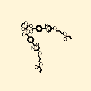 C=CC(=O)OCCCOc1cnc(-c2ccc(C(=O)O[C@H]3OCCO[C@@H]3OC(=O)c3ccc(-c4ncc(OCCCOC(=O)C=C)cn4)cc3)cc2)nc1